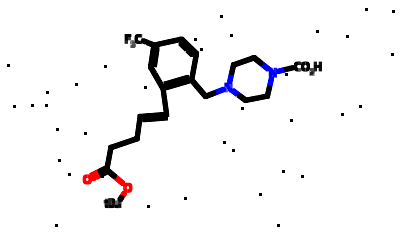 CC(C)(C)OC(=O)CCC=Cc1cc(C(F)(F)F)ccc1CN1CCN(C(=O)O)CC1